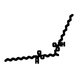 CCCCCCCCCCCCNC(=O)OCCCCC(C)COC(=O)NCCCCCCCCCCCC